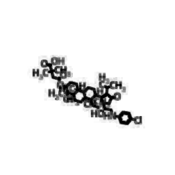 CC(C)C1=C2[C@H]3CC[C@@H]4[C@@]5(C)CC[C@H](OC(=O)CC(C)(C)C(=O)O)C(C)(C)[C@@H]5CC[C@@]4(C)[C@]3(C)CC[C@@]2([C@H](O)CNc2ccc(Cl)cc2)CC1=O